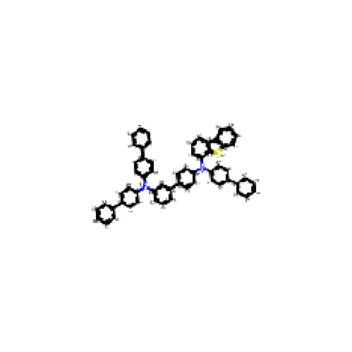 c1ccc(-c2ccc(N(c3ccc(-c4ccccc4)cc3)c3cccc(-c4ccc(N(c5ccc(-c6ccccc6)cc5)c5cccc6c5sc5ccccc56)cc4)c3)cc2)cc1